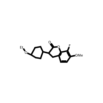 CCOC1CCC(C2Cc3ccc(OC)c(F)c3OC2=O)CC1